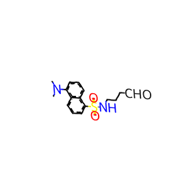 CN(C)c1cccc2c(S(=O)(=O)NCCCC=O)cccc12